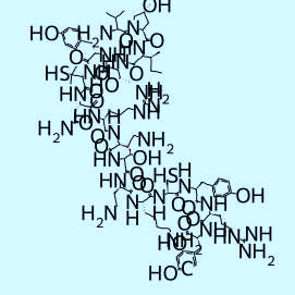 CC[C@H](C)[C@H](NC(=O)[C@@H]1C[C@@H](O)CN1C(=O)[C@@H](N)C(C)C)C(=O)N[C@H](C(=O)N[C@@H](Cc1ccc(O)cc1)C(=O)N[C@H](C(=O)N[C@@H](CC(N)=O)C(=O)N[C@@H](CCCNC(=N)N)C(=O)N[C@@H](CCN)C(=O)N[C@H](C(=O)N[C@H](CCN)C(=O)N[C@@H](CCCCN)C(=O)N[C@@H](CS)C(=O)N[C@@H](Cc1ccc(O)cc1)C(=O)N[C@@H](CCCNC(=N)N)C(=O)N[C@@H](Cc1ccc(O)cc1)C(=O)O)[C@@H](C)O)C(C)(C)S)[C@H](C)O